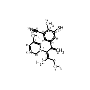 C=C(/C(=C(/C)CC)N1C=C(C)C=NC1)c1cc(S)c(C)c(C#N)c1